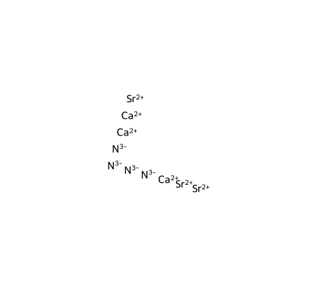 [Ca+2].[Ca+2].[Ca+2].[N-3].[N-3].[N-3].[N-3].[Sr+2].[Sr+2].[Sr+2]